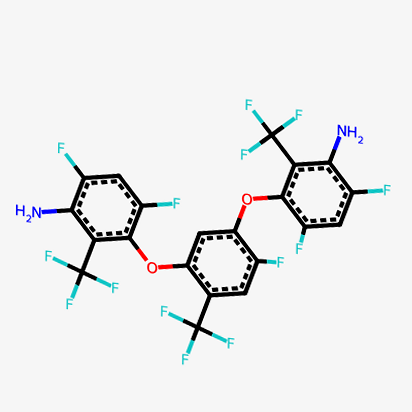 Nc1c(F)cc(F)c(Oc2cc(Oc3c(F)cc(F)c(N)c3C(F)(F)F)c(C(F)(F)F)cc2F)c1C(F)(F)F